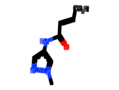 Cn1cc(NC(=O)/C=C/C(=O)O)cn1